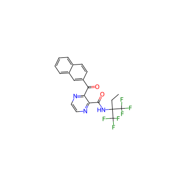 CCC(NC(=O)c1nccnc1C(=O)c1ccc2ccccc2c1)(C(F)(F)F)C(F)(F)F